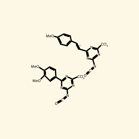 COc1ccc(-c2nc(N=C=O)nc(C(Cl)(Cl)Cl)n2)cc1OC.COc1ccc(/C=C/c2nc(N=C=O)nc(C(Cl)(Cl)Cl)n2)cc1